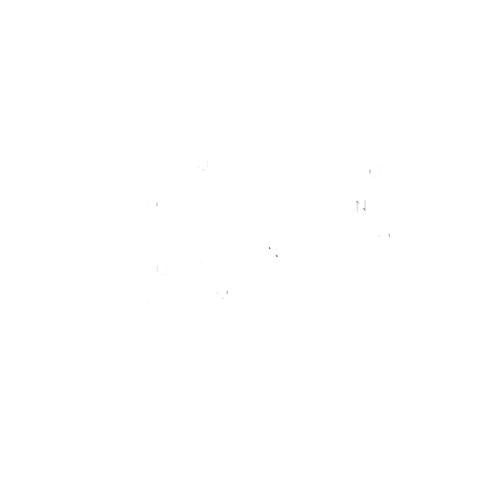 CCOC(=O)C(C(=O)OC(C)(C)C)c1ccc([N+](=O)[O-])c(C)n1